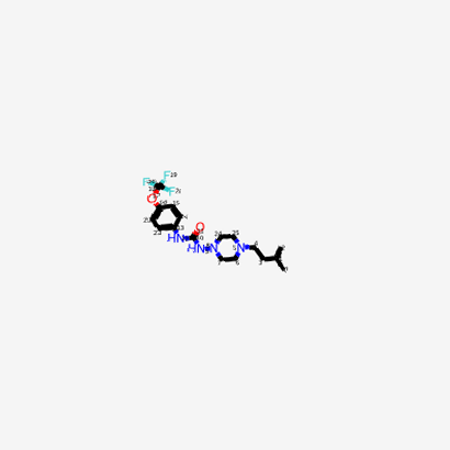 CC(C)CCN1CCN(NC(=O)Nc2ccc(OC(F)(F)F)cc2)CC1